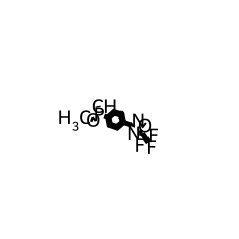 COP(C)c1ccc(-c2noc(C(F)(F)F)n2)cc1